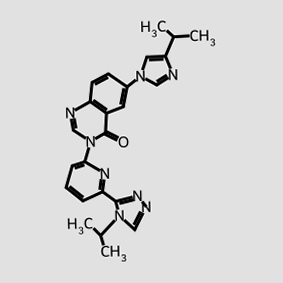 CC(C)c1cn(-c2ccc3ncn(-c4cccc(-c5nncn5C(C)C)n4)c(=O)c3c2)cn1